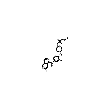 Cc1cc(Nc2ncnc3cnc(F)cc23)ccc1OC1CCN(CC(C)(C)CC=O)CC1